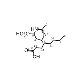 CC1=NCCC(C(=O)O)N1.CCCCCCCC(=O)O